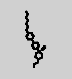 CCCCCCCc1ccc(-c2ccc([C@]3(C#N)CC[C@H](CCC)CC3)cc2)cc1